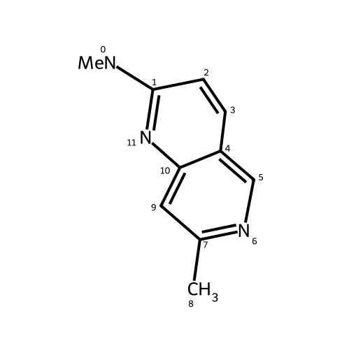 CNc1ccc2cnc(C)cc2n1